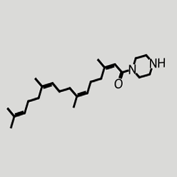 CC(C)=CCCC(C)=CCCC(C)=CCCC(C)=CC(=O)N1CCNCC1